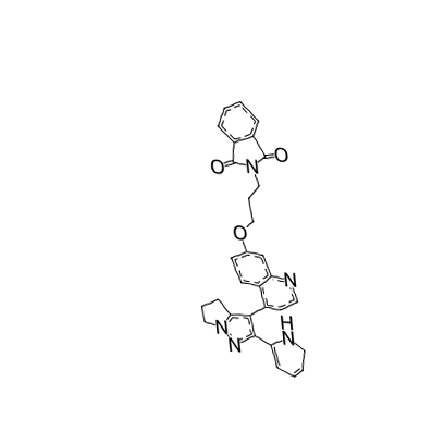 O=C1c2ccccc2C(=O)N1CCCOc1ccc2c(-c3c(C4=CC=CCN4)nn4c3CCC4)ccnc2c1